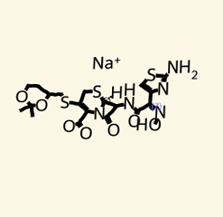 CC1(C)OCCC(CSC2=C(C(=O)[O-])N3C(=O)C(NC(=O)/C(=N\O)c4csc(N)n4)[C@@H]3SC2)O1.[Na+]